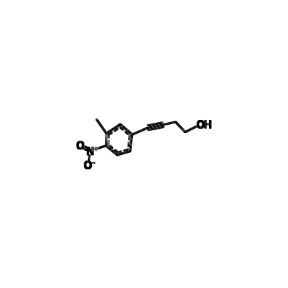 Cc1cc(C#CCCO)ccc1[N+](=O)[O-]